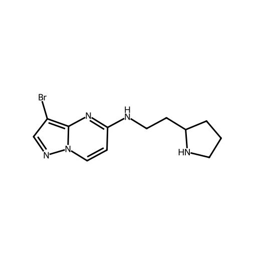 Brc1cnn2ccc(NCCC3CCCN3)nc12